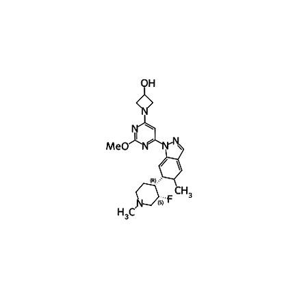 COc1nc(N2CC(O)C2)cc(-n2ncc3c2=CC([C@H]2CCN(C)C[C@H]2F)C(C)C=3)n1